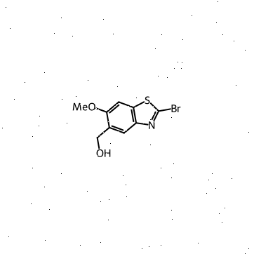 COc1cc2sc(Br)nc2cc1CO